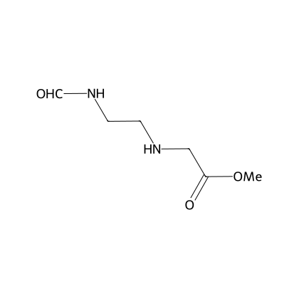 COC(=O)CNCCNC=O